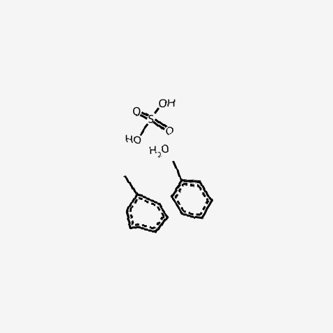 Cc1ccccc1.Cc1ccccc1.O.O=S(=O)(O)O